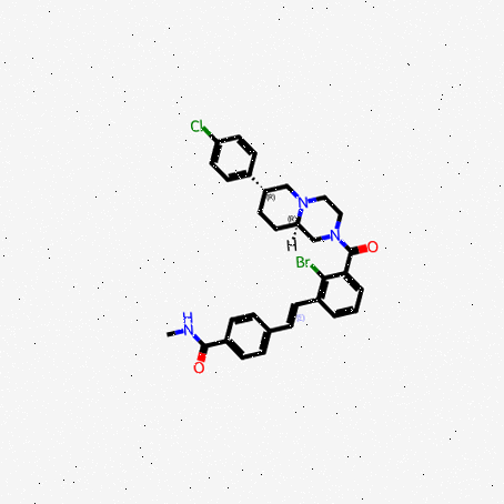 CNC(=O)c1ccc(/C=C/c2cccc(C(=O)N3CCN4C[C@@H](c5ccc(Cl)cc5)CC[C@@H]4C3)c2Br)cc1